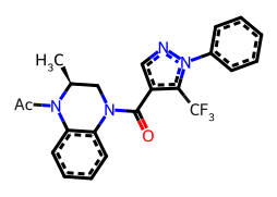 CC(=O)N1c2ccccc2N(C(=O)c2cnn(-c3ccccc3)c2C(F)(F)F)C[C@@H]1C